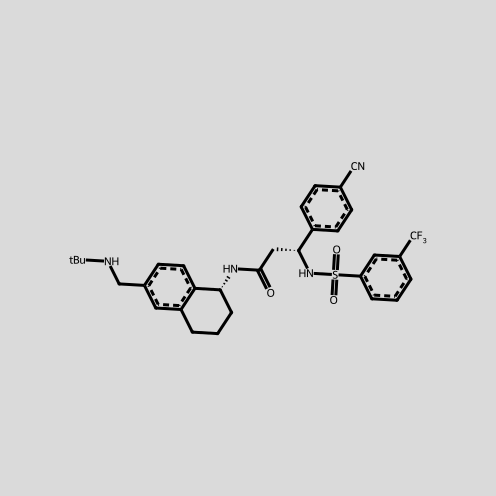 CC(C)(C)NCc1ccc2c(c1)CCC[C@H]2NC(=O)C[C@@H](NS(=O)(=O)c1cccc(C(F)(F)F)c1)c1ccc(C#N)cc1